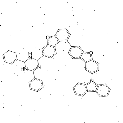 C1=CCCC(C2NC(c3ccccc3)=NC(c3ccc4c(c3)oc3cccc(-c5ccc6c(c5)oc5ccc(-n7c8ccccc8c8ccccc87)cc56)c34)N2)=C1